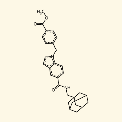 COC(=O)c1ccc(Cn2ccc3cc(C(=O)NCC45CC6CC(CC(C6)C4)C5)ccc32)cc1